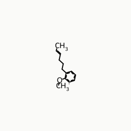 CC=CCCCc1ccc[c]c1OC